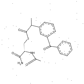 CC(=O)N[C@@H](CSC(=O)C(C)c1cccc(C(=O)c2ccccc2)c1)C(N)=O